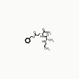 C=CCN[C@@H](C)C(=O)N[C@H](CCC(=O)OCc1ccccc1)C(N)=O